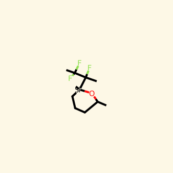 CC1CCC[Si](C)(C(C)(F)C(C)(F)F)O1